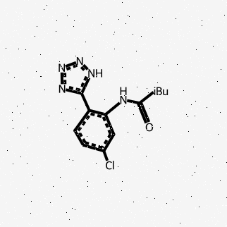 CCC(C)C(=O)Nc1cc(Cl)ccc1-c1nnn[nH]1